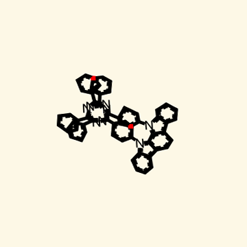 c1ccc(-c2nc(-c3ccccc3)nc(-c3ccc(-n4c5ccccc5c5ccc6c7ccccc7n(-c7ccc(-c8nc(-c9ccccc9)nc(-c9ccccc9)n8)cc7)c6c54)cc3)n2)cc1